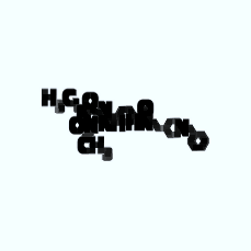 CCCn1c(=O)c2nc(-c3ccc(C(=O)NCCC4CCN(Cc5ccccc5)CC4)cc3)[nH]c2n(CCC)c1=O